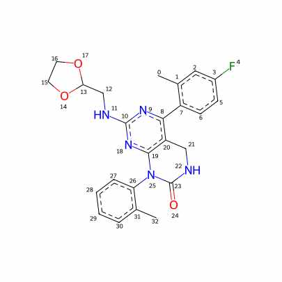 Cc1cc(F)ccc1-c1nc(NCC2OCCO2)nc2c1CNC(=O)N2c1ccccc1C